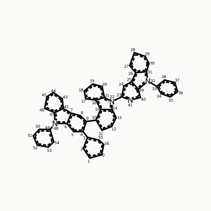 c1ccc(-c2cc3c(cc2-c2cccc4c2c2ccccc2n4-c2cc4c5ccccc5n(-c5ccccc5)c4cn2)c2ccccc2n3-c2ccccc2)cc1